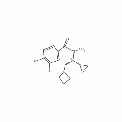 CN(C(=O)c1ccc(F)c(F)c1)[C@H](CN1CCC1)C1CC1